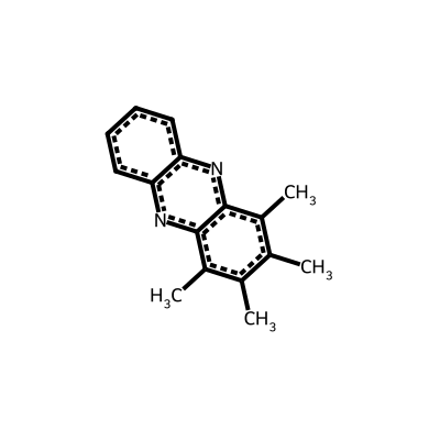 Cc1c(C)c(C)c2nc3ccccc3nc2c1C